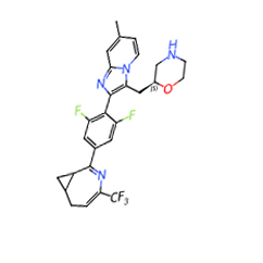 Cc1ccn2c(C[C@H]3CNCCO3)c(-c3c(F)cc(C4=NC(C(F)(F)F)=CCC5CC45)cc3F)nc2c1